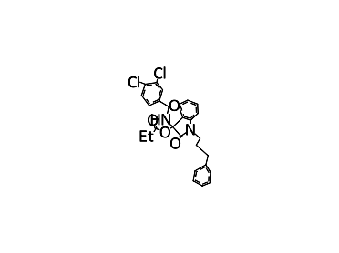 CCC(=O)OC1(NC(=O)c2ccc(Cl)c(Cl)c2)C(=O)N(CCCc2ccccc2)c2ccccc21